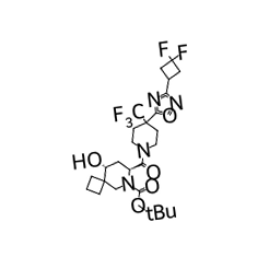 CC(C)(C)OC(=O)N1CC2(CCC2)[C@H](O)C[C@H]1C(=O)N1CCC(c2nc(C3CC(F)(F)C3)no2)(C(F)(F)F)CC1